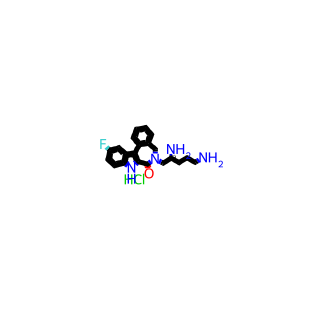 Cl.NCCC[C@H](N)CN1Cc2ccccc2-c2c([nH]c3ccc(F)cc23)C1=O